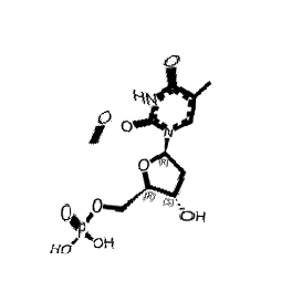 C=O.Cc1cn([C@H]2C[C@H](O)[C@@H](COP(=O)(O)O)O2)c(=O)[nH]c1=O